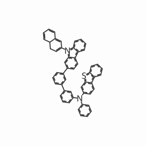 C1=CC2=CC(n3c4ccccc4c4ccc(-c5cccc(-c6cccc(N(c7ccccc7)c7ccc8c(c7)sc7ccccc78)c6)c5)cc43)=CCC2C=C1